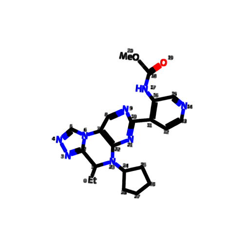 CCC1c2nncn2-c2cnc(-c3ccncc3NC(=O)OC)nc2N1C1CCCC1